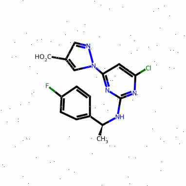 C[C@H](Nc1nc(Cl)cc(-n2cc(C(=O)O)cn2)n1)c1ccc(F)cc1